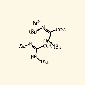 CC(C)(C)N=C(NC(C)(C)C)C(=O)[O-].CC(C)(C)N=C(NC(C)(C)C)C(=O)[O-].[Ni+2]